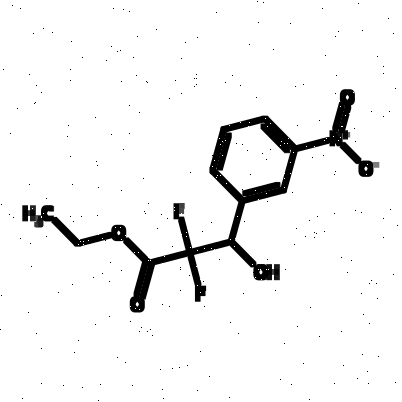 CCOC(=O)C(F)(F)C(O)c1cccc([N+](=O)[O-])c1